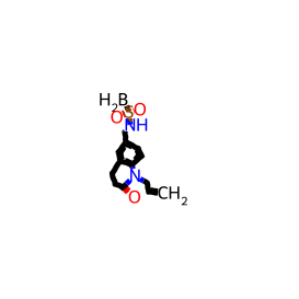 BS(=O)(=O)NCc1ccc2c(c1)CCC(=O)N2CC=C